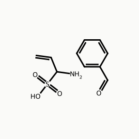 C=CC(N)S(=O)(=O)O.O=Cc1ccccc1